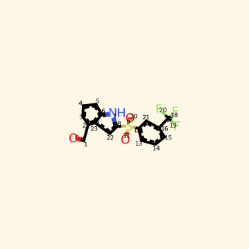 O=Cc1cccc2[nH]c(S(=O)(=O)c3cccc(C(F)(F)F)c3)cc12